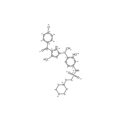 Cc1cc(C(C)c2ccc(NS(=O)(=O)CCN3CCOCC3)cc2)[nH]c1C(=O)c1ccc(Cl)cc1.Cl